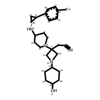 N#CCC1(N2CCC(N[C@@H]3CC3c3ccc(F)cc3)CC2)CN(C2CCC(O)CC2)C1